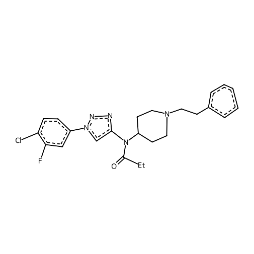 CCC(=O)N(c1cn(-c2ccc(Cl)c(F)c2)nn1)C1CCN(CCc2ccccc2)CC1